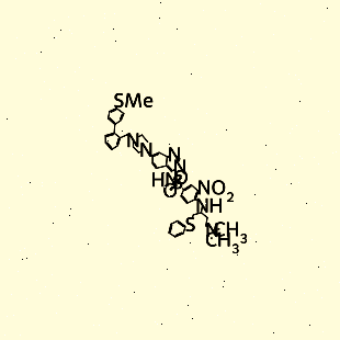 CSc1ccc(-c2ccccc2CN2CCN(c3ccc4c(NS(=O)(=O)c5ccc(NC(CCN(C)C)CSc6ccccc6)c([N+](=O)[O-])c5)ncnc4c3)CC2)cc1